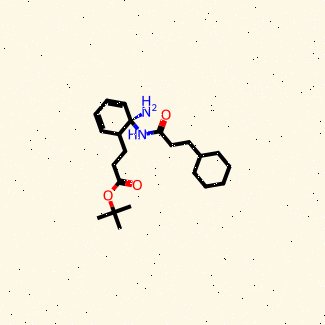 CC(C)(C)OC(=O)CCC1C=CC=C[C@]1(N)NC(=O)CCC1CCCCC1